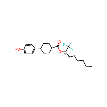 CCCCCC[C@@H](OC(=O)[C@H]1CC[C@H](c2ccc(O)cc2)CC1)C(F)(F)F